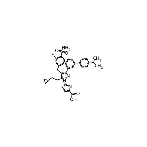 CC(C)c1ccc(-c2cccc(-c3nn(-c4nc(C(=O)O)cs4)c(CCC4CC4)c3Cc3ccc(S(N)(=O)=O)c(F)c3)c2)cc1